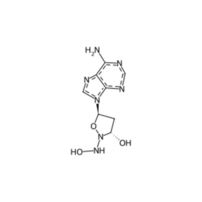 Nc1ncnc2c1ncn2[C@H]1C[C@H](O)N(NO)O1